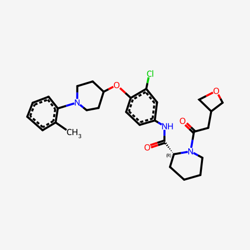 Cc1ccccc1N1CCC(Oc2ccc(NC(=O)[C@H]3CCCCN3C(=O)CC3COC3)cc2Cl)CC1